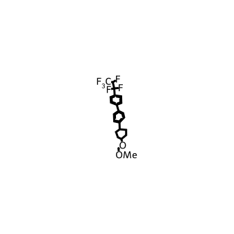 COCOC1CCC(c2ccc(-c3ccc(C(F)(F)C(F)C(F)(F)F)cc3)cc2)CC1